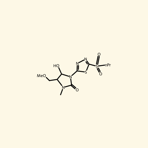 CCCS(=O)(=O)c1nnc(N2C(=O)N(C)C(COC)C2O)s1